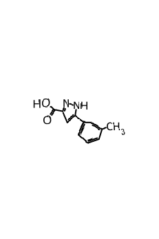 Cc1cccc(-c2cc(C(=O)O)n[nH]2)c1